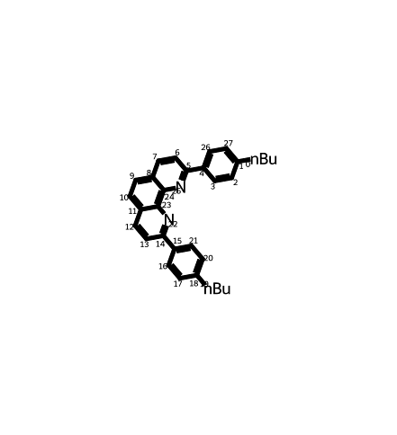 CCCCc1ccc(-c2ccc3ccc4ccc(-c5ccc(CCCC)cc5)nc4c3n2)cc1